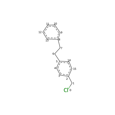 ClCc1ccc(CCc2ccccc2)cc1